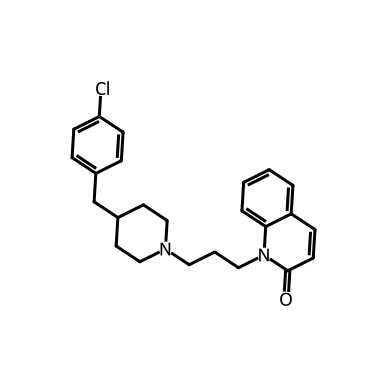 O=c1ccc2ccccc2n1CCCN1CCC(Cc2ccc(Cl)cc2)CC1